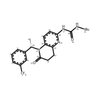 C[C@@H](c1cccc(C(F)(F)F)c1)N1C(=O)CCc2nc(NC(=O)NC(C)(C)C)ccc21